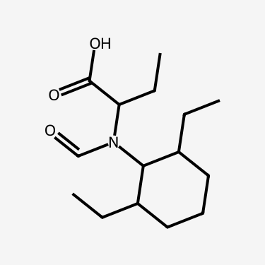 CCC1CCCC(CC)C1N(C=O)C(CC)C(=O)O